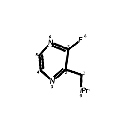 C[C](C)Cc1nccnc1F